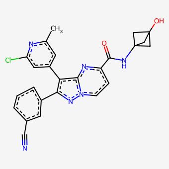 Cc1cc(-c2c(-c3cccc(C#N)c3)nn3ccc(C(=O)NC45CC(O)(C4)C5)nc23)cc(Cl)n1